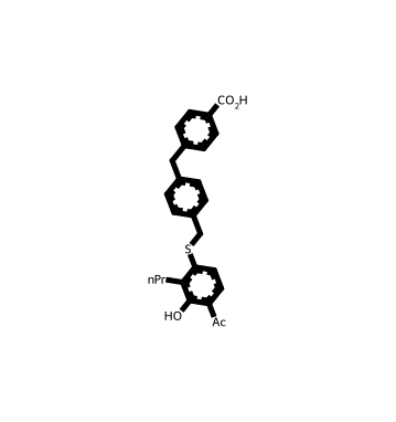 CCCc1c(SCc2ccc(Cc3ccc(C(=O)O)cc3)cc2)ccc(C(C)=O)c1O